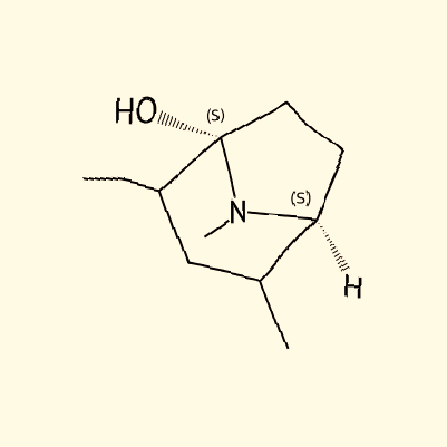 CC1CC(C)[C@@]2(O)CC[C@@H]1N2C